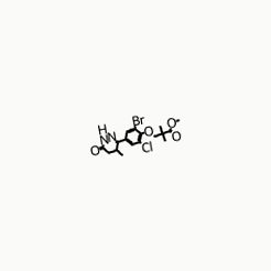 COC(=O)C(C)(C)COc1c(Cl)cc(C2=NNC(=O)CC2C)cc1Br